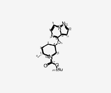 C[C@@H]1CC[C@@H](Oc2nccn3nccc23)CN1C(=O)OC(C)(C)C